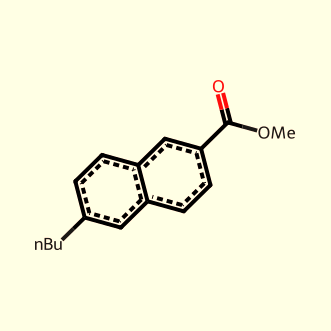 CCCCc1ccc2cc(C(=O)OC)ccc2c1